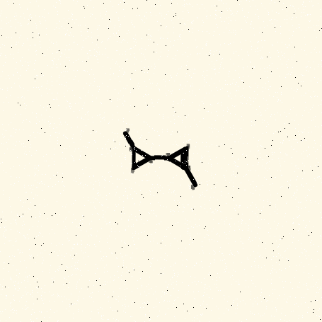 CC1=CC1C1CC1C